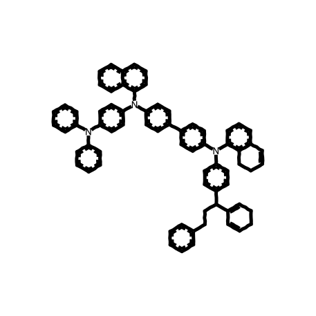 C1=CC(C(CCc2ccccc2)c2ccc(N(c3ccc(-c4ccc(N(c5ccc(N(c6ccccc6)c6ccccc6)cc5)c5cccc6ccccc56)cc4)cc3)c3cccc4c3CCC=C4)cc2)=CCC1